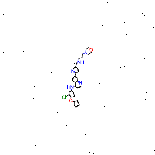 Clc1cc(Nc2ccnc3cc(-c4ccc(CNCCCN5CCOCC5)cn4)ccc23)ccc1Oc1ccccc1